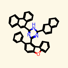 c1ccc(-c2ccc3oc4ccccc4c3c2C2=NC(c3ccc4ccccc4c3)NC(c3cc4ccccc4c4ccccc34)=N2)cc1